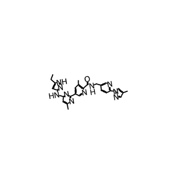 CCc1cc(Nc2cc(C)nc(-c3cnc(C(=O)NCc4ccc(-n5cc(C)cn5)nc4)c(C)c3)n2)n[nH]1